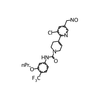 CCCOc1cc(NC(=O)N2CC=C(c3ncc(CN=O)cc3Cl)CC2)ccc1C(F)(F)F